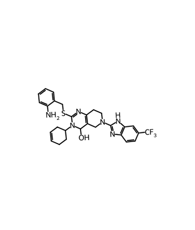 Nc1ccccc1CSC1=NC2=C(CN(c3nc4ccc(C(F)(F)F)cc4[nH]3)CC2)C(O)N1C1CC=CCC1